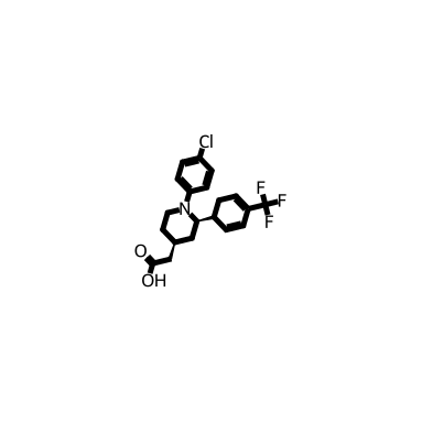 O=C(O)C[C@H]1CCN(c2ccc(Cl)cc2)[C@@H](C2C=CC(C(F)(F)F)=CC2)C1